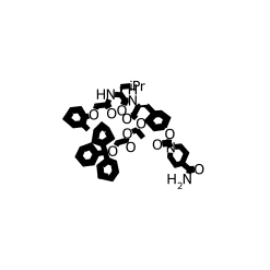 Cc1ccccc1OCC(=O)N[C@@H](CC(C)C)C(=O)N[C@@H](Cc1ccc(OC(=O)N2CCC(C(N)=O)CC2)cc1)C(=O)OC(C)OC(=O)COC(c1ccccc1)(c1ccccc1)c1ccccc1